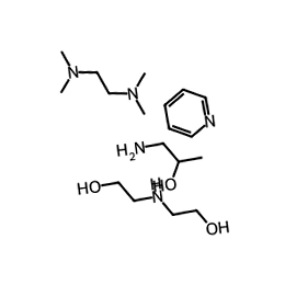 CC(O)CN.CN(C)CCN(C)C.OCCNCCO.c1ccncc1